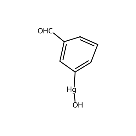 O=Cc1ccc[c]([Hg][OH])c1